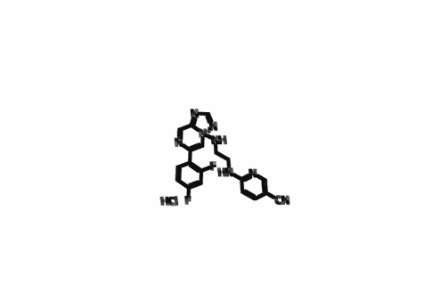 Cl.N#Cc1ccc(NCCN[N+]23C=C(c4ccc(F)cc4F)N=CC2=NC=N3)nc1